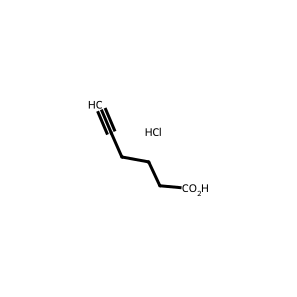 C#CCCCC(=O)O.Cl